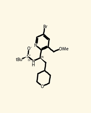 COCc1cc(Br)cnc1[C@@H](CC1CCOCC1)N[S@+]([O-])C(C)(C)C